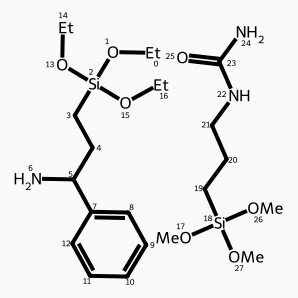 CCO[Si](CCC(N)c1ccccc1)(OCC)OCC.CO[Si](CCCNC(N)=O)(OC)OC